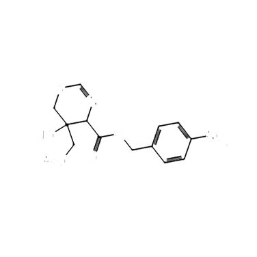 CC(=O)OCC1(O)CSC=NC1C(=O)OCc1ccc([N+](=O)[O-])cc1